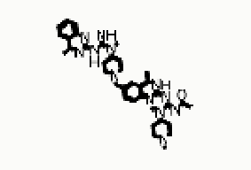 CC(=O)/N=C(\Nc1nc(C)c2cc(CN3CCC(N(C)C(=N)Nc4nc(C)c5ccccc5n4)CC3)ccc2n1)N(C)C1CCN(C)CC1